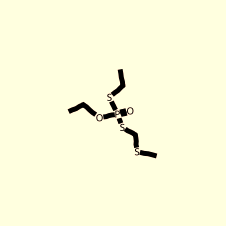 CCOP(=O)(SCC)SCSC